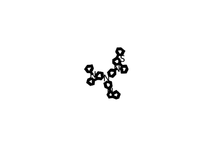 c1ccc(-n2c3ccccc3c3cc(N(c4ccc(N5CCc6ccccc65)cc4)c4ccc(-n5c6ccccc6c6c7sc8ccccc8c7ccc65)cc4)ccc32)cc1